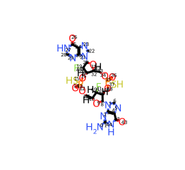 Nc1nc2c(ncn2[C@@H]2O[C@@H]3CO[P@@](=O)(S)O[C@H]4[C@H](F)[C@H](n5cnc6c(=O)[nH]cnc65)O[C@@H]4CO[P@](=O)(S)O[C@@H]2[C@H]3F)c(=O)[nH]1